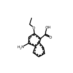 CCOc1cc(N)c2ccccc2c1C(=O)O